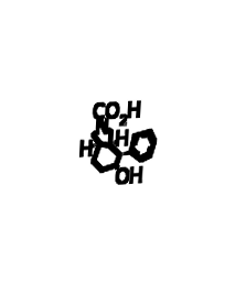 O=C(O)N1C[C@@H]2CC[C@H](O)[C@@H](c3ccccc3)[C@@H]2C1